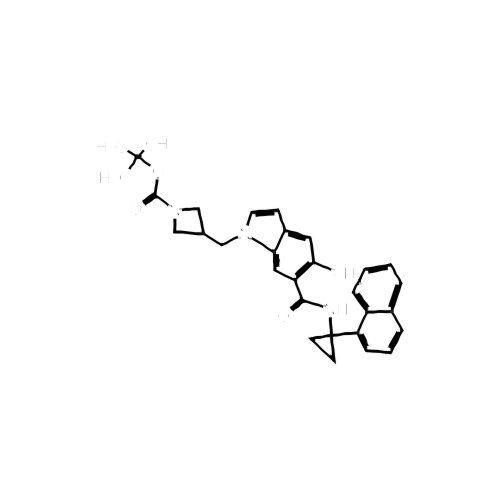 Cc1cc2ccn(CC3CN(C(=O)OC(C)(C)C)C3)c2cc1C(=O)NC1(c2cccc3ccccc23)CC1